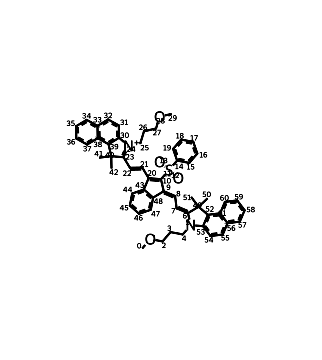 COCCCN1/C(=C/C=C2C(S(=O)(=O)c3ccccc3)=C(/C=C/C3=[N+](CCCOC)c4ccc5ccccc5c4C3(C)C)c3ccccc3/2)C(C)(C)c2c1ccc1ccccc21